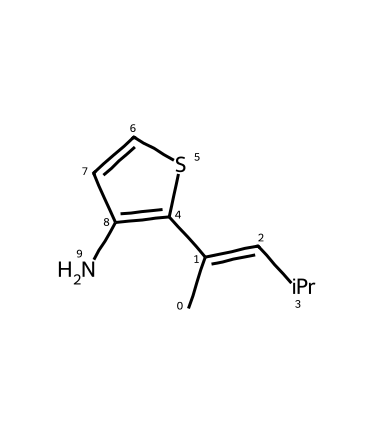 CC(=CC(C)C)c1sccc1N